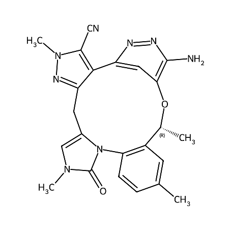 Cc1ccc2c(c1)[C@@H](C)Oc1cc(nnc1N)-c1c(nn(C)c1C#N)Cc1cn(C)c(=O)n1-2